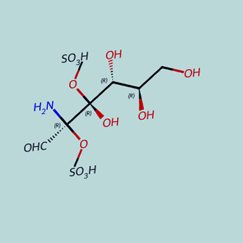 N[C@](C=O)(OS(=O)(=O)O)[C@](O)(OS(=O)(=O)O)[C@H](O)[C@H](O)CO